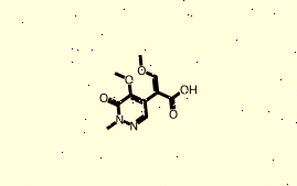 CO/C=C(/C(=O)O)c1cnn(C)c(=O)c1OC